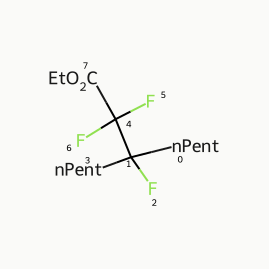 CCCCCC(F)(CCCCC)C(F)(F)C(=O)OCC